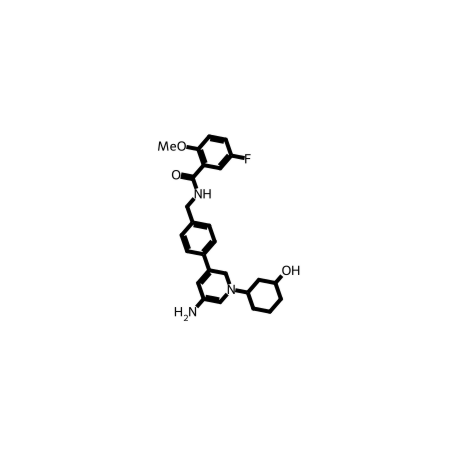 COc1ccc(F)cc1C(=O)NCc1ccc(C2=CC(N)=CN(C3CCCC(O)C3)C2)cc1